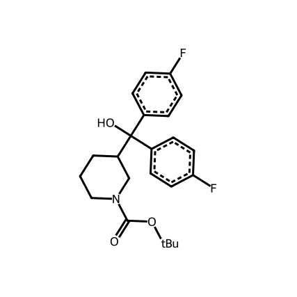 CC(C)(C)OC(=O)N1CCCC(C(O)(c2ccc(F)cc2)c2ccc(F)cc2)C1